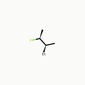 CC[C@H](C)[C@H](C)F